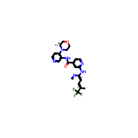 C=N/C(=C\C=C(/C)C(F)(F)F)Nc1cc(C(=O)Nc2cnccc2N2CCOC[C@H]2C)ccn1